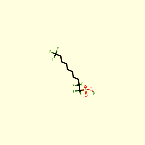 O=S(=O)(OF)C(F)(F)C(F)(F)CCCCCCCC(F)(F)F